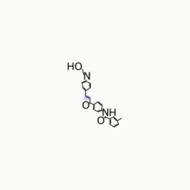 Cc1cccc(C(=O)Nc2ccc(C(=O)/C=C/c3ccc(N(C)CCO)cc3)cc2)c1